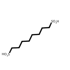 O=S(=O)(O)CCCCCCCCS(=O)(=O)O